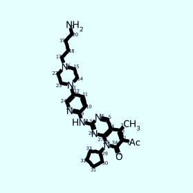 CC(=O)c1c(C)c2cnc(Nc3ccc(N4CCN(CCCCN)CC4)cn3)nc2n(C2CCCC2)c1=O